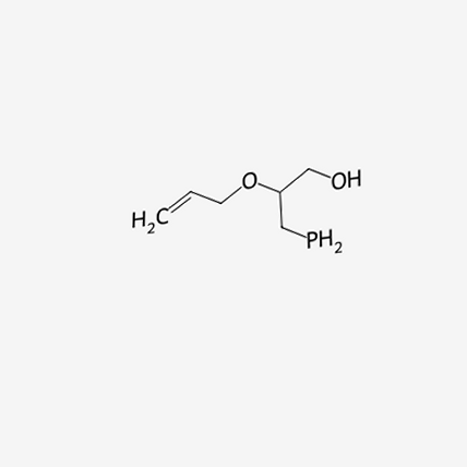 C=CCOC(CO)CP